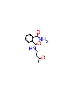 CC(=O)CCNC(=O)c1ccccc1C(N)=O